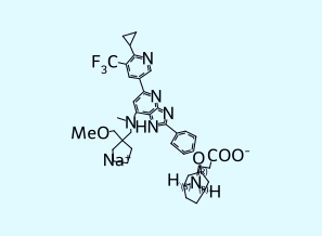 COCC1(CN(C)c2cc(-c3cnc(C4CC4)c(C(F)(F)F)c3)nc3nc(-c4ccc(O[C@H]5C[C@H]6CC[C@@H](C5)N6CCC(=O)[O-])cc4)[nH]c23)CCCC1.[Na+]